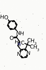 CC(C)(C)c1nccnc1/C=C/C(=O)Nc1ccc(O)cc1